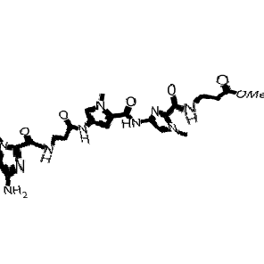 COC(=O)CCNC(=O)c1nc(NC(=O)c2cc(NC(=O)CCNC(=O)c3nc(N)cn3C)cn2C)cn1C